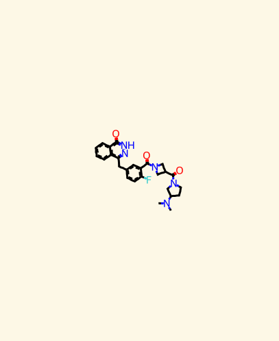 CN(C)C1CCN(C(=O)C2CN(C(=O)c3cc(Cc4n[nH]c(=O)c5ccccc45)ccc3F)C2)C1